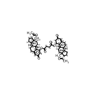 CC(=O)[C@H]1CC[C@H]2[C@@H]3CCC4=CC(=O)CC(OC(=O)CCC(=O)OC5CC(=O)C=C6CC[C@H]7[C@@H]8CC[C@H](C(C)=O)[C@@]8(C)CC[C@@H]7[C@]65C)[C@]4(C)[C@H]3CC[C@]12C